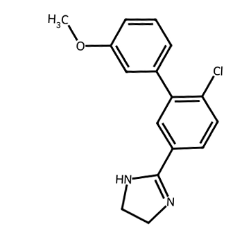 COc1cccc(-c2cc(C3=NCCN3)ccc2Cl)c1